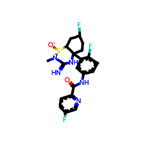 CN1C(=N)NC2(c3cc(NC(=O)c4ccc(F)cn4)ccc3F)CCC(F)CC2[S+]1[O-]